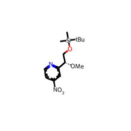 CO[C@@H](CO[Si](C)(C)C(C)(C)C)c1cc([N+](=O)[O-])ccn1